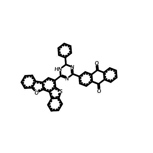 O=C1c2ccccc2C(=O)c2cc(C3=NC(c4ccccc4)NC(c4cc5c6ccccc6oc5c5c4sc4ccccc45)=N3)ccc21